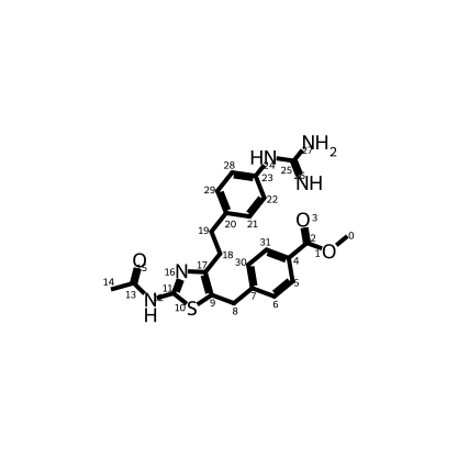 COC(=O)c1ccc(Cc2sc(NC(C)=O)nc2CCc2ccc(NC(=N)N)cc2)cc1